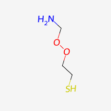 NCOOCCS